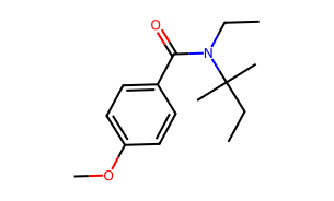 CCN(C(=O)c1ccc(OC)cc1)C(C)(C)CC